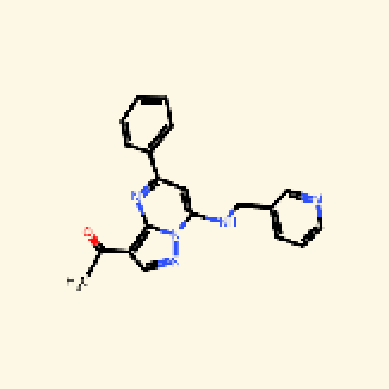 CC(=O)c1cnn2c(NCc3cccnc3)cc(-c3ccccc3)nc12